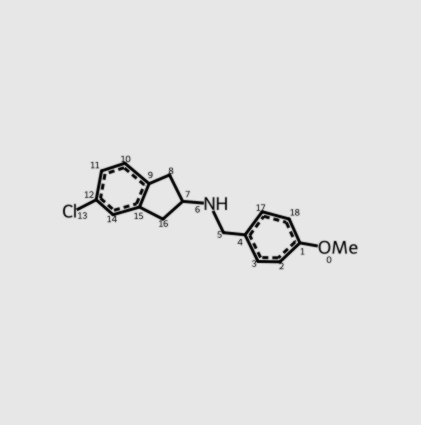 COc1ccc(CNC2Cc3ccc(Cl)cc3C2)cc1